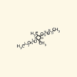 CCCOCCOc1cc(C)c(OCCOCCC)cc1C